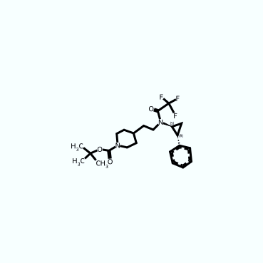 CC(C)(C)OC(=O)N1CCC(CCN(C(=O)C(F)(F)F)[C@H]2C[C@@H]2c2ccccc2)CC1